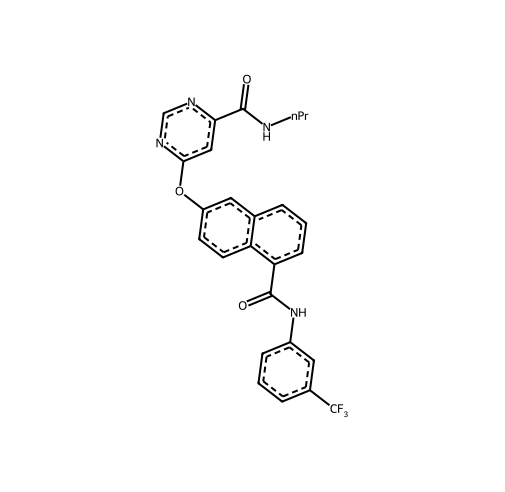 CCCNC(=O)c1cc(Oc2ccc3c(C(=O)Nc4cccc(C(F)(F)F)c4)cccc3c2)ncn1